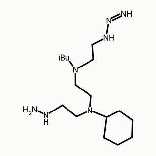 CCC(C)N(CCNN=N)CCN(CCNN)C1CCCCC1